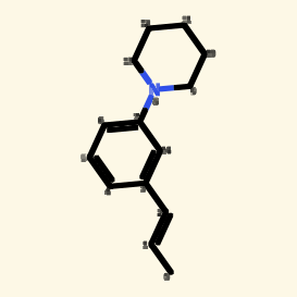 CC=Cc1cccc(N2CCCCC2)c1